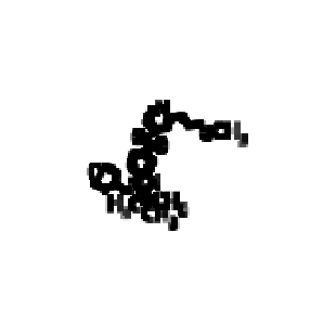 COCCCc1cc(S(=O)(=O)c2ccc3c(c2)nc(C(C)(C)C)n3CC2CCOCC2)ccn1